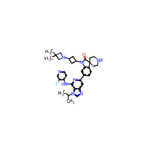 CC(C)n1cnc2cc(-c3ccc4c(c3)N(C3CC(N5CC(C)(C)C5)C3)C(=O)C43CCNCC3)nc(Nc3ccncc3F)c21